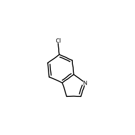 Clc1ccc2c(c1)N=CC2